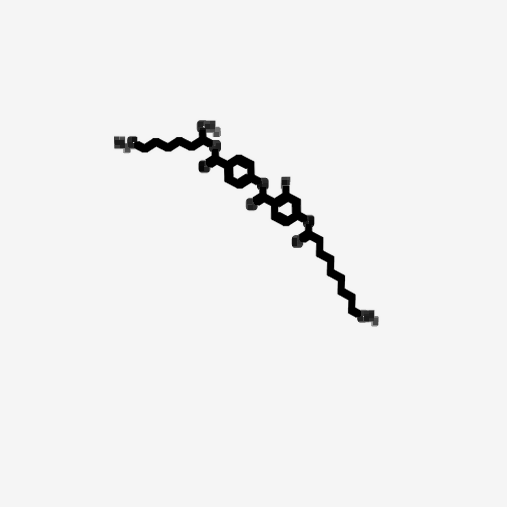 CCCCCCCCCC(=O)Oc1ccc(C(=O)Oc2ccc(C(=O)OC(C)CCCCCC)cc2)c(F)c1